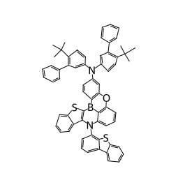 CC(C)(C)c1ccc(N(c2ccc3c(c2)Oc2cccc4c2B3c2sc3ccccc3c2N4c2cccc3c2sc2ccccc23)c2ccc(C(C)(C)C)c(-c3ccccc3)c2)cc1-c1ccccc1